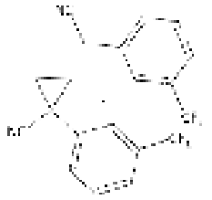 N#CC1(c2cccc(C(F)(F)F)c2)CC1.N#CCc1cccc(C(F)(F)F)c1